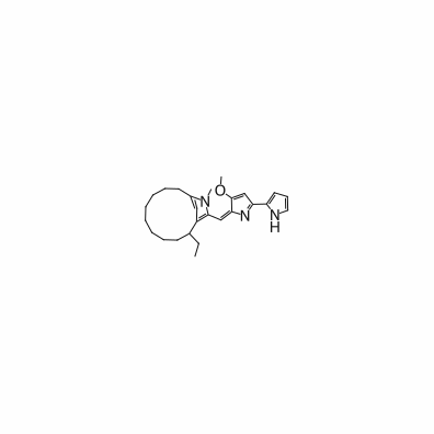 CCC1CCCCCCCCc2cc1c(/C=C1/N=C(c3ccc[nH]3)C=C1OC)n2C